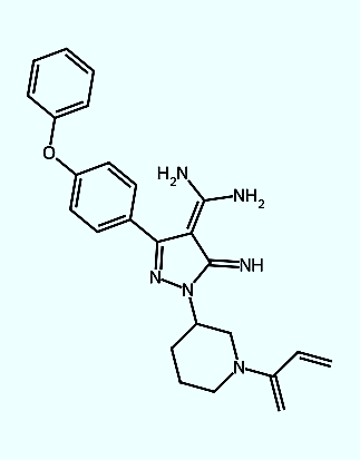 C=CC(=C)N1CCCC(N2N=C(c3ccc(Oc4ccccc4)cc3)C(=C(N)N)C2=N)C1